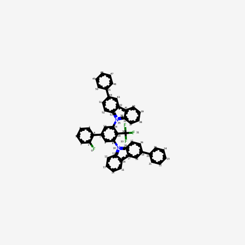 Fc1ccccc1-c1cc(-n2c3ccccc3c3cc(-c4ccccc4)ccc32)c(C(F)(F)F)c(-n2c3ccccc3c3cc(-c4ccccc4)ccc32)c1